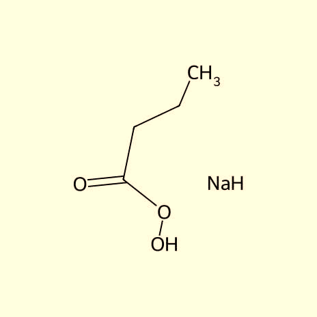 CCCC(=O)OO.[NaH]